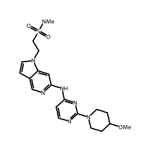 CNS(=O)(=O)CCn1ccc2cnc(Nc3ccnc(N4CCC(OC)CC4)n3)cc21